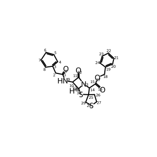 O=C(Cc1ccccc1)NC1C(=O)N2C(C(=O)OCc3ccccc3)C3(CCSC3)S[C@@H]12